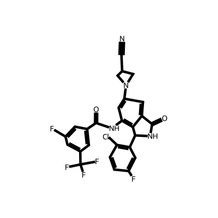 N#CC1CN(c2cc(NC(=O)c3cc(F)cc(C(F)(F)F)c3)c3c(c2)C(=O)NC3c2cc(F)ccc2Cl)C1